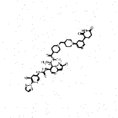 C[C@H](c1c(NC(=O)Nc2cnc(-n3nccn3)c(Cl)c2)cnc2cc(Cl)nn12)N(C)C(=O)C1CCN(CC2CCN(c3cncc(C4CCC(=O)NC4=O)c3)CC2)CC1